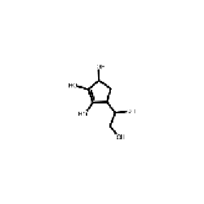 OCC(O)C1CC(O)C(O)=C1O